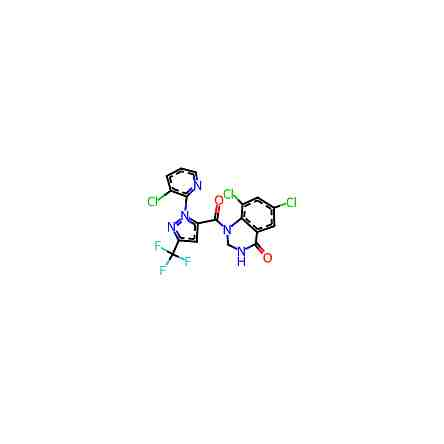 O=C1NCN(C(=O)c2cc(C(F)(F)F)nn2-c2ncccc2Cl)c2c(Cl)cc(Cl)cc21